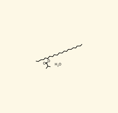 CCCCCCCCCCCCCCCC(CCCCC)OC(=O)C(C)C.O